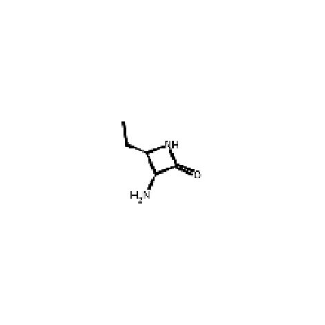 CC[C@H]1NC(=O)[C@H]1N